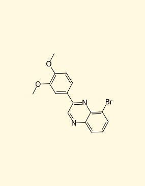 COc1ccc(-c2cnc3cccc(Br)c3n2)cc1OC